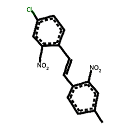 Cc1ccc(C=Cc2ccc(Cl)cc2[N+](=O)[O-])c([N+](=O)[O-])c1